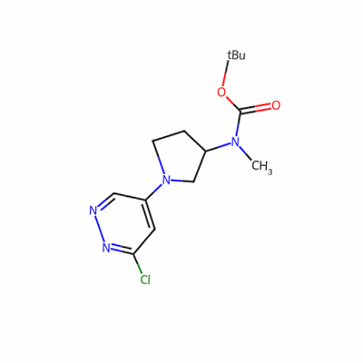 CN(C(=O)OC(C)(C)C)C1CCN(c2cnnc(Cl)c2)C1